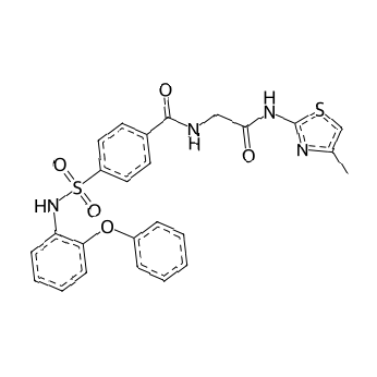 Cc1csc(NC(=O)CNC(=O)c2ccc(S(=O)(=O)Nc3ccccc3Oc3ccccc3)cc2)n1